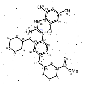 COC(=O)N1CCC[C@@H](Nc2ncc(/N=C(\N)Nc3c(Cl)cc(C#N)cc3Cl)c(CC3CCCCC3)n2)C1